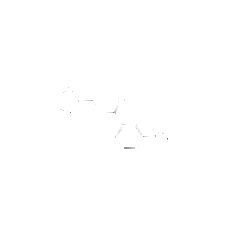 N#Cc1cccc(C(=O)OCC2CCCN2)c1